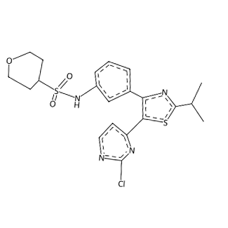 CC(C)c1nc(-c2cccc(NS(=O)(=O)C3CCOCC3)c2)c(-c2ccnc(Cl)n2)s1